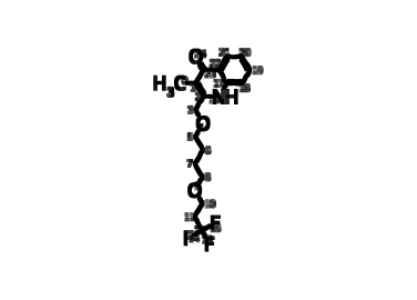 Cc1c(COCCCCOCCC(F)(F)F)[nH]c2ccccc2c1=O